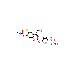 CNS(=O)(=O)Nc1cccc(Cc2c(CCl)c3cc(F)c(OC(=O)N(C)C)cc3oc2=O)c1Cl